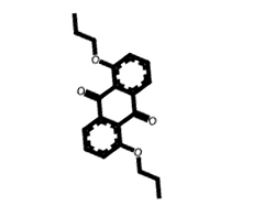 CCCOc1cccc2c1C(=O)c1cccc(OCCC)c1C2=O